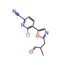 CC(C=O)Cc1ncc(-c2ccc(C#N)nc2Cl)o1